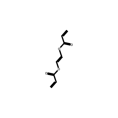 C=CC(=O)O/C=C/OC(=O)C=C